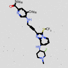 CNC(=O)c1cc(OC)c(NCC#Cc2nc3c(N[C@@H]4CCN(C)C[C@@H]4F)cccn3c2SC(F)(F)F)cn1